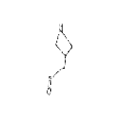 O=[S+]CC1CNC1